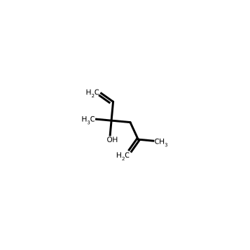 C=CC(C)(O)CC(=C)C